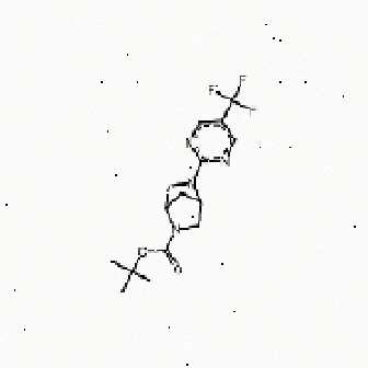 CC(C)(C)OC(=O)N1CC2CC1CN2c1ncc(C(F)(F)F)cn1